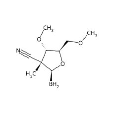 B[C@@H]1O[C@H](COC)[C@@H](OC)[C@@]1(C)C#N